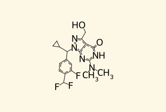 CN(C)c1nc2c(c(CO)nn2C(c2ccc(C(F)F)c(F)c2)C2CC2)c(=O)[nH]1